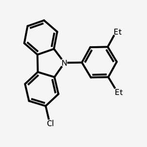 CCc1cc(CC)cc(-n2c3ccccc3c3ccc(Cl)cc32)c1